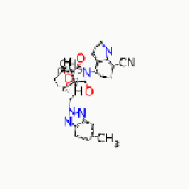 Cc1ccc2nn(CC[C@]34CC[C@](C)(O3)[C@@H]3C(=O)N(c5ccc(C#N)c6ncccc56)C(=O)[C@@H]34)nc2c1